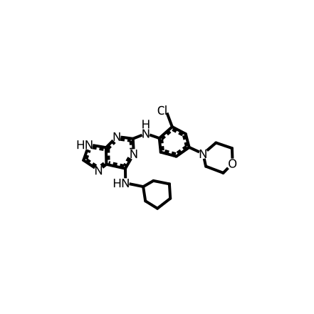 Clc1cc(N2CCOCC2)ccc1Nc1nc(NC2CCCCC2)c2nc[nH]c2n1